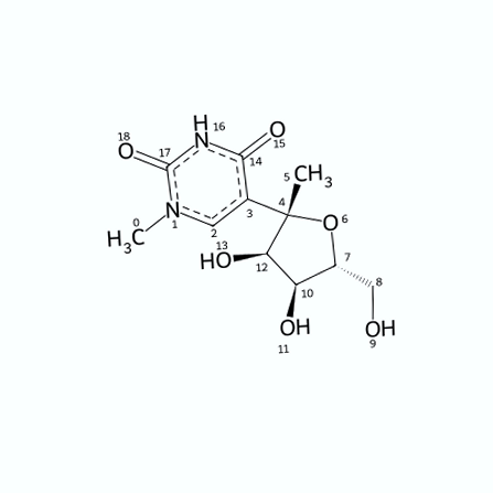 Cn1cc([C@]2(C)O[C@H](CO)[C@@H](O)[C@H]2O)c(=O)[nH]c1=O